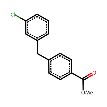 COC(=O)c1ccc(Cc2cccc(Cl)c2)cc1